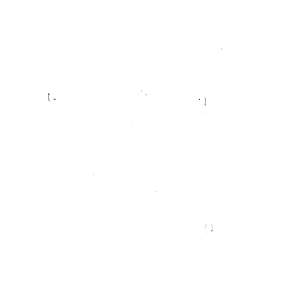 N#Cc1ccc(C#N)c(Oc2co[c]n2)c1